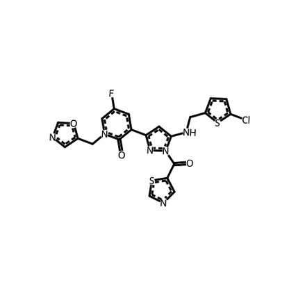 O=C(c1cncs1)n1nc(-c2cc(F)cn(Cc3cnco3)c2=O)cc1NCc1ccc(Cl)s1